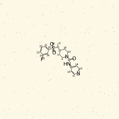 CC(C1CCN(C(=O)Nc2ccncc2)CC1)S(=O)(=O)c1cccc(F)c1